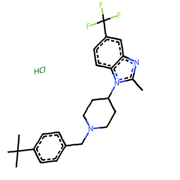 Cc1nc2cc(C(F)(F)F)ccc2n1C1CCN(Cc2ccc(C(C)(C)C)cc2)CC1.Cl